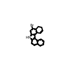 Brc1cc2[nH]c3ccc4ccccc4c3c2c2c1CCC=C2